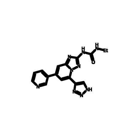 CCNC(=O)Nc1nc2cc(-c3cccnc3)cc(-c3c[nH]nn3)n2n1